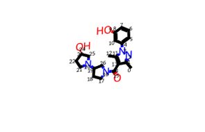 Cc1nn(-c2cccc(O)c2)c(C)c1C(=O)N1CCC(N2CC[C@H](O)C2)C1